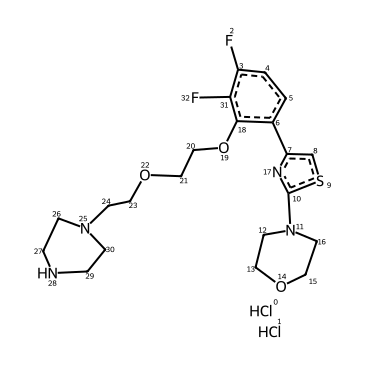 Cl.Cl.Fc1ccc(-c2csc(N3CCOCC3)n2)c(OCCOCCN2CCNCC2)c1F